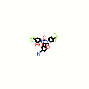 N#Cc1cccc(C2(O)N(c3ccc(C(F)(F)F)cc3)C(=O)N(c3ccc(C(F)(F)F)cc3)C23COC3)c1